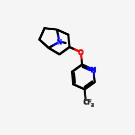 CN1C2CCC1CC(Oc1ccc(C(F)(F)F)cn1)C2